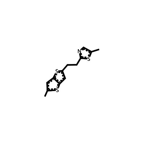 Cc1cnc(CCc2cc3sc(C)cc3s2)s1